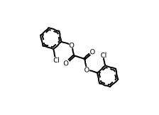 O=C(Oc1ccccc1Cl)C(=O)Oc1ccccc1Cl